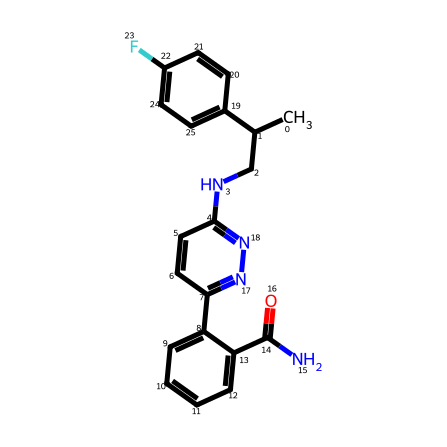 CC(CNc1ccc(-c2ccccc2C(N)=O)nn1)c1ccc(F)cc1